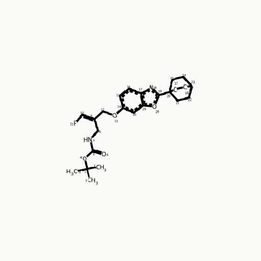 CC(C)(C)OC(=O)NC/C(=C\F)COc1ccc2nc(C34CCC(CC3)CC4)oc2c1